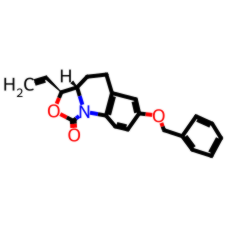 C=C[C@@H]1OC(=O)N2c3ccc(OCc4ccccc4)cc3CC[C@@H]12